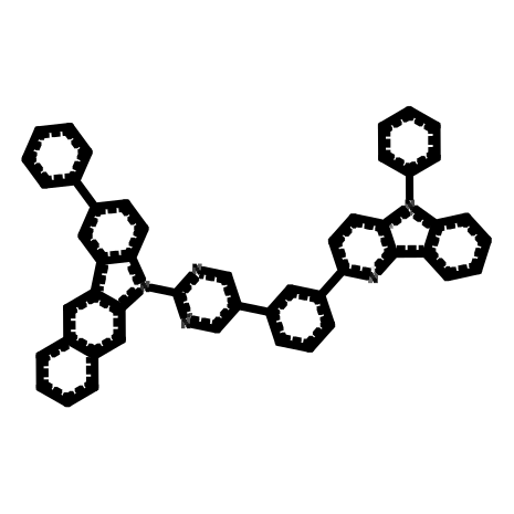 c1ccc(-c2ccc3c(c2)c2cc4ccccc4cc2n3-c2ncc(-c3cccc(-c4ccc5c(n4)c4ccccc4n5-c4ccccc4)c3)cn2)cc1